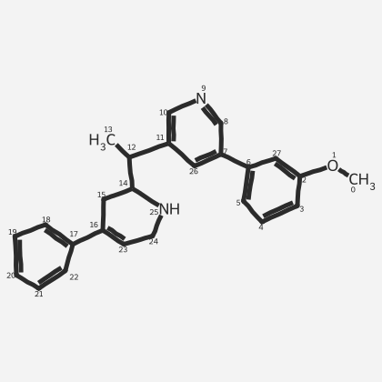 COc1cccc(-c2cncc(C(C)C3CC(c4ccccc4)=CCN3)c2)c1